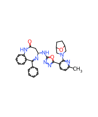 Cc1ccc(-c2nnc(N[C@@H]3CC(=O)Nc4ccccc4/C(c4ccccc4)=N\3)o2)c(N2CC3CCC(C2)O3)n1